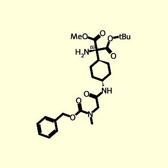 COC(=O)[C@](N)(C(=O)OC(C)(C)C)[C@H]1CC[C@H](NC(=O)CN(C)C(=O)OCc2ccccc2)CC1